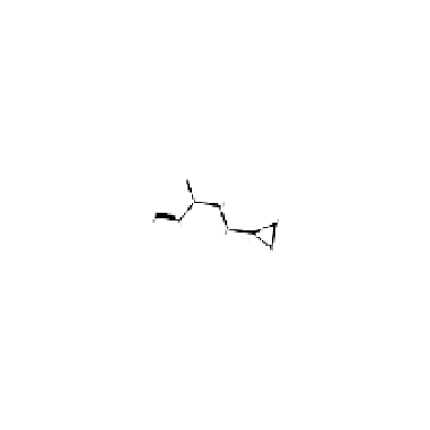 [CH]=CC(C)CCC1CC1